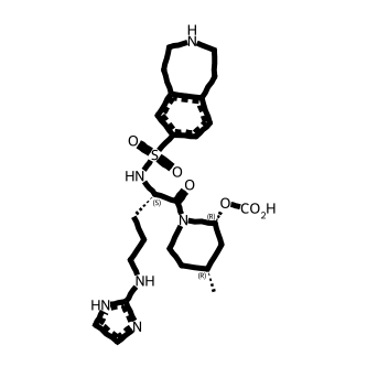 C[C@@H]1CCN(C(=O)[C@H](CCCNc2ncc[nH]2)NS(=O)(=O)c2ccc3c(c2)CCNCC3)[C@H](OC(=O)O)C1